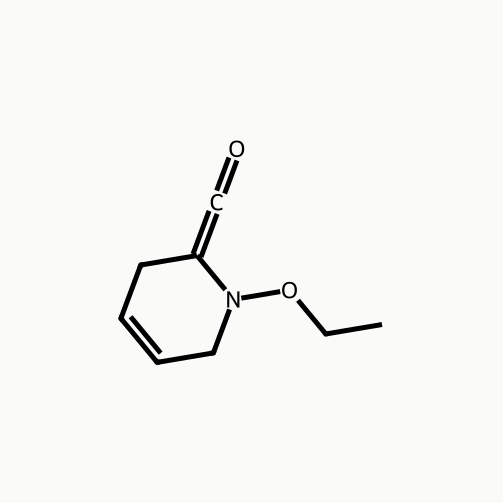 CCON1CC=CCC1=C=O